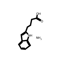 N.O=C(O)CCCc1cc2ccccc2[nH]1